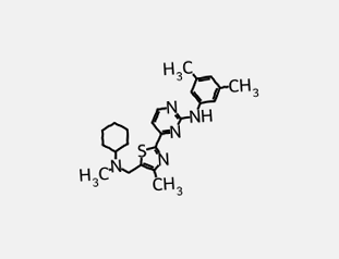 Cc1cc(C)cc(Nc2nccc(-c3nc(C)c(CN(C)C4CCCCC4)s3)n2)c1